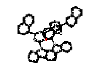 c1ccc(-c2nc(-c3cccc4ccccc34)nc(-n3c4ccccc4c4ccc5c6ccccc6n(-c6cccc7nc(-c8ccc9ccccc9c8)oc67)c5c43)n2)cc1